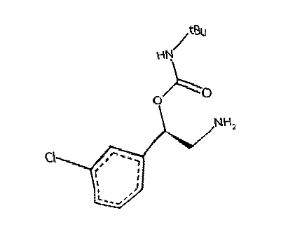 CC(C)(C)NC(=O)O[C@@H](CN)c1cccc(Cl)c1